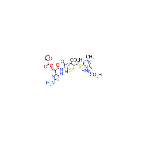 CC1=NC2=CN(C(=O)O)NN2C(SCC2=C(C(=O)O)N3C(=O)[C@@H](NC(=O)/C(=N\OC(=O)c4ccco4)c4csc(N)n4)[C@H]3SC2)=C1